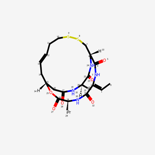 C/C=C1\NC(=O)[C@H]2CSSCC/C=C/C[C@H](CC(=O)N[C@H](C(C)C)C(=O)N2)OC(=O)[C@H](C(C)C)NC1=O